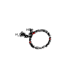 CC(C)(C)ON(C=O)N=Cc1ccc(CC(=O)N2CCCCCCCCCCCCCCCCCCCCCCCCCCCCCCCCCCCCCCCCCCCCCCCCC3(CC2)CCN(CC(=O)O)C(=O)O3)cc1